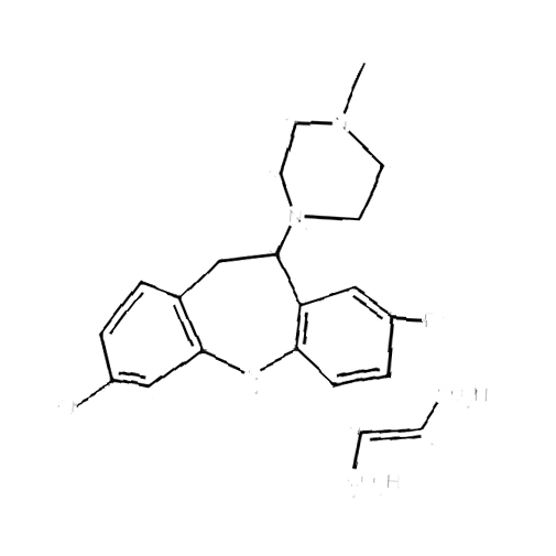 CN1CCN(C2Cc3ccc(Cl)cc3Sc3ccc(F)cc32)CC1.O=C(O)C=CC(=O)O